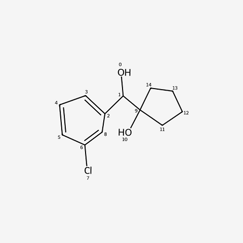 OC(c1cccc(Cl)c1)C1(O)CCCC1